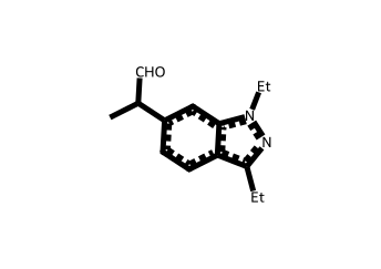 CCc1nn(CC)c2cc(C(C)C=O)ccc12